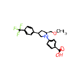 COC[C@@H]1CC(c2ccc(C(F)(F)F)cc2)CN1c1ccc(C(=O)O)cc1